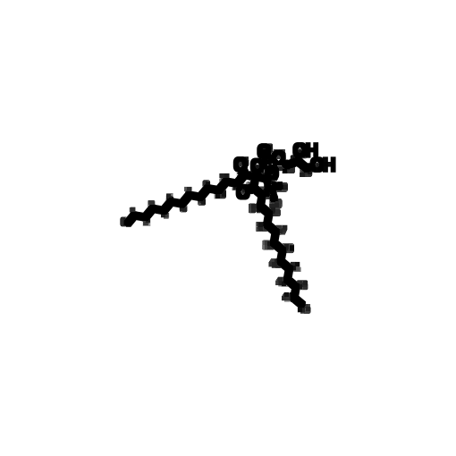 CCCCCCCCCCCCCC(=O)C(C[N+](C)(C)C)(OP(=O)([O-])OC[C@H](O)CO)C(=O)CCCCCCCCCCCCC